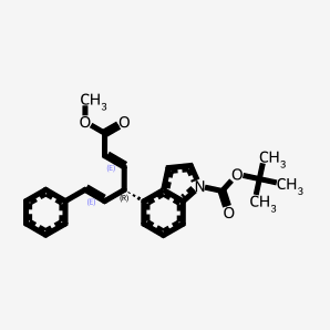 COC(=O)/C=C/[C@@H](/C=C/c1ccccc1)c1cccc2c1ccn2C(=O)OC(C)(C)C